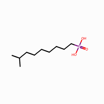 CC(C)CCCCCCCP(=O)(O)O